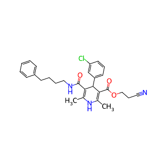 CC1=C(C(=O)NCCCCc2ccccc2)C(c2cccc(Cl)c2)C(C(=O)OCCC#N)=C(C)N1